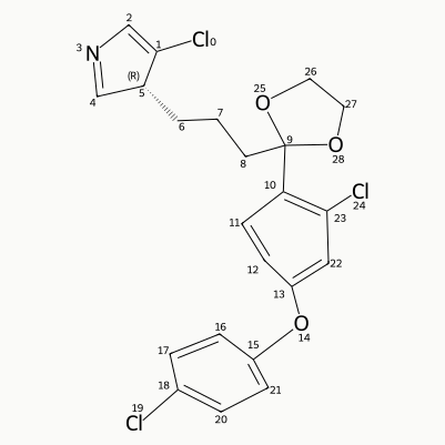 ClC1=CN=C[C@H]1CCCC1(c2ccc(Oc3ccc(Cl)cc3)cc2Cl)OCCO1